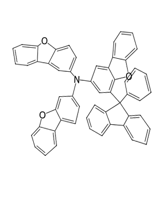 c1ccc(C2(c3cc(N(c4ccc5c(c4)oc4ccccc45)c4ccc5oc6ccccc6c5c4)cc4c3oc3ccccc34)c3ccccc3-c3ccccc32)cc1